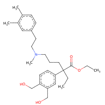 CCOC(=O)C(CC)(CCCN(C)CCc1ccc(C)c(C)c1)c1ccc(CO)c(CO)c1